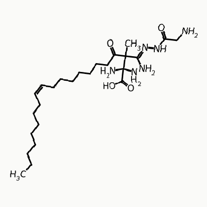 CCCCCCCC/C=C\CCCCCCCC(=O)C(C)(C(N)=NNC(=O)CN)C(N)(N)C(=O)O